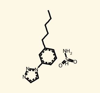 CCCCCc1cccc(-n2ccnn2)c1.N[SH](=O)=O